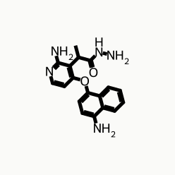 CC(C(=O)NN)c1c(Oc2ccc(N)c3ccccc23)ccnc1N